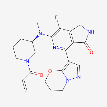 C=CC(=O)N1CCC[C@@H](N(C)c2nc(-c3cnn4c3OCCC4)c3c(c2F)CNC3=O)C1